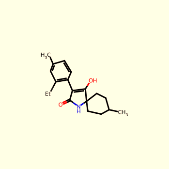 CCc1cc(C)ccc1C1=C(O)C2(CCC(C)CC2)NC1=O